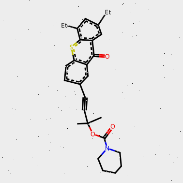 CCc1cc(CC)c2sc3ccc(C#CC(C)(C)OC(=O)N4CCCCC4)cc3c(=O)c2c1